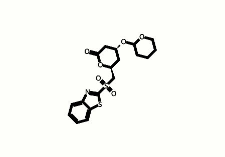 O=C1C[C@H](OC2CCCCO2)C[C@@H](CS(=O)(=O)c2nc3ccccc3s2)O1